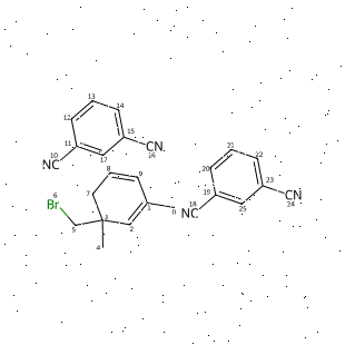 CC1=CC(C)(CBr)CC=C1.N#Cc1cccc(C#N)c1.N#Cc1cccc(C#N)c1